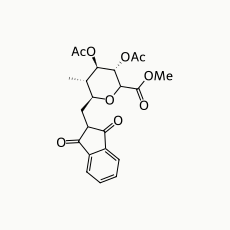 COC(=O)C1O[C@@H](CC2C(=O)c3ccccc3C2=O)[C@H](C)[C@@H](OC(C)=O)[C@@H]1OC(C)=O